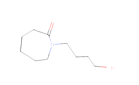 O=C1CCCCCN1CCCCO